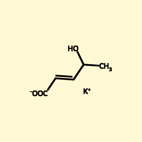 CC(O)C=CC(=O)[O-].[K+]